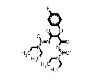 CCN(CC)[N+]([O-])=NC(=O)C(Oc1ccc(F)cc1)C(=O)N=[N+]([O-])N(CC)CC